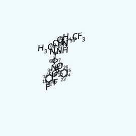 CC1(C)N=C(C23CC(N(Cc4ccc(F)c(F)c4)S(=O)(=O)c4ccccc4)(C2)C3)N[C@H]1C(=O)NCCC(F)(F)F